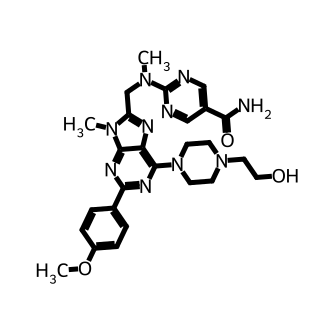 COc1ccc(-c2nc(N3CCN(CCO)CC3)c3nc(CN(C)c4ncc(C(N)=O)cn4)n(C)c3n2)cc1